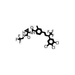 Cc1cc(/C=C/C(c2cc(Cl)c(Cl)c(Cl)c2)C(F)(F)F)ccc1C(=O)NC1(C(=O)NCC(F)(F)F)CC1